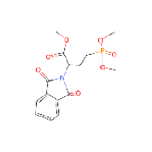 COC(=O)C(CCP(=O)(OC)OC)N1C(=O)c2ccccc2C1=O